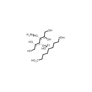 CCCCCCCCCCCCCCCCCC(=O)O.CCO.OC[C@@H](O)[C@@H](O)[C@H](O)[C@@H](O)CO.[MgH2]